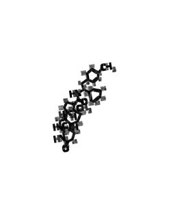 Cc1ccc(CC(NC(=O)C2CC[C@H]3[C@@H]4CC=C5NC(=O)CC[C@]5(C)[C@@H]4CC[C@]23C)c2ccccc2)cc1